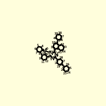 C[Si]1(C)c2ccccc2-c2cccc(-c3nc(-c4ccc(-c5ccccc5)cc4)nc(-c4ccc(-c5ccccc5)c5ccccc45)n3)c21